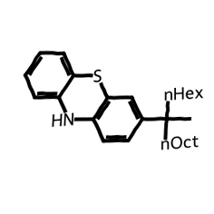 CCCCCCCCC(C)(CCCCCC)c1ccc2c(c1)Sc1ccccc1N2